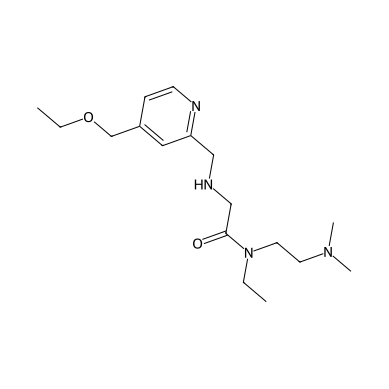 CCOCc1ccnc(CNCC(=O)N(CC)CCN(C)C)c1